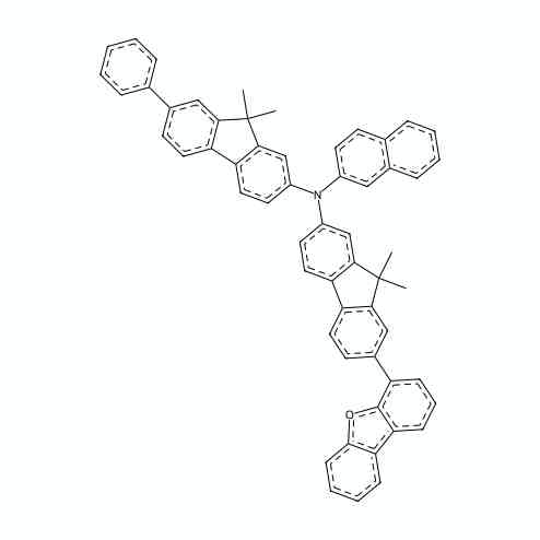 CC1(C)c2cc(-c3ccccc3)ccc2-c2ccc(N(c3ccc4c(c3)C(C)(C)c3cc(-c5cccc6c5oc5ccccc56)ccc3-4)c3ccc4ccccc4c3)cc21